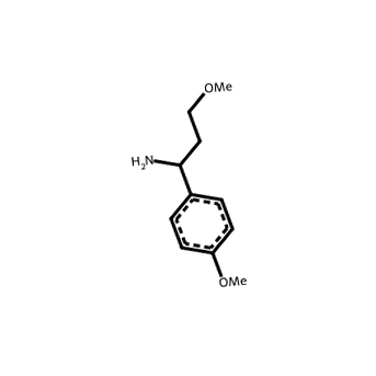 COCCC(N)c1ccc(OC)cc1